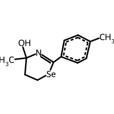 Cc1ccc(C2=NC(C)(O)CC[Se]2)cc1